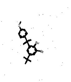 COc1ccc(C(C)(C)c2cc(C(C)(C)C)cc(Br)c2Br)cc1